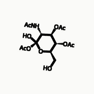 CC(=O)N[C@@H]1[C@@H](OC(C)=O)[C@H](OC(C)=O)[C@@H](CO)O[C@@]1(O)OC(C)=O